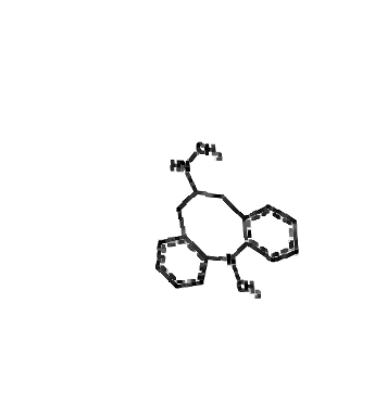 CNC1Cc2ccccc2N(C)c2ccccc2C1